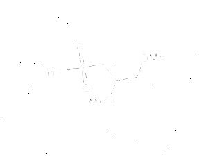 COCC(CS(C)(=O)=O)OC